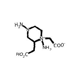 NN1CC[N+](N)(CC(=O)[O-])C(CC(=O)O)C1